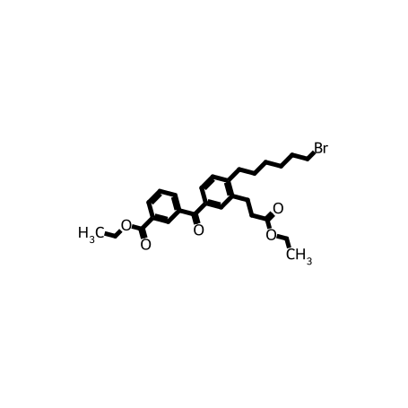 CCOC(=O)CCc1cc(C(=O)c2cccc(C(=O)OCC)c2)ccc1CCCCCCBr